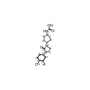 O=C(O)NC1CCC(N2CCN(c3ccc(Cl)c(F)c3)C2=O)CC1